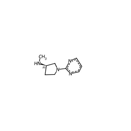 CN[C@@H]1CCN(c2ncccn2)C1